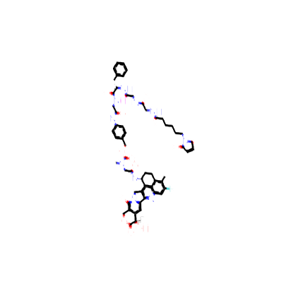 CC[C@@]1(O)C(=O)OCc2c1cc1n(c2=O)Cc2c-1nc1cc(F)c(C)c3c1c2[C@@H](NC(=O)CN(C)C(=O)OCc1ccc(NC(=O)CNC(=O)[C@H](Cc2ccccc2)NC(=O)CNC(=O)CNC(=O)CCCCCN2C(=O)C=CC2=O)cc1)CC3